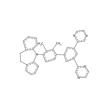 Cc1c(-c2cc(-c3cnccn3)cc(-c3cnccn3)c2)ccc(N2c3ccccc3CCc3ccccc32)c1C